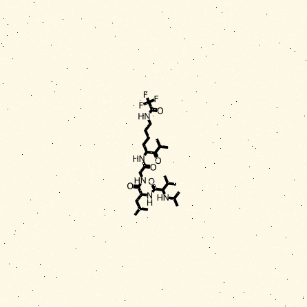 CC(C)CC(NC(=O)C(NC(C)C)C(C)C)C(=O)NCC(=O)NC(CCCCNC(=O)C(F)(F)F)C(=O)C(C)C